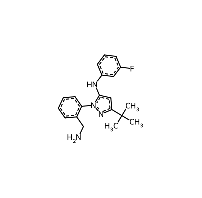 CC(C)(C)c1cc(Nc2cccc(F)c2)n(-c2ccccc2CN)n1